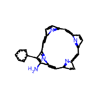 NC1=C(c2ccccc2)C2=NC1=CC1=NC(=CC3=NC(=CC4=NC(=C2)C=C4)C=C3)C=C1